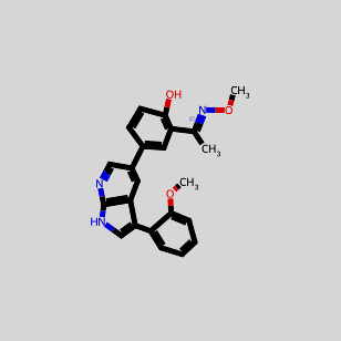 CO/N=C(\C)c1cc(-c2cnc3[nH]cc(-c4ccccc4OC)c3c2)ccc1O